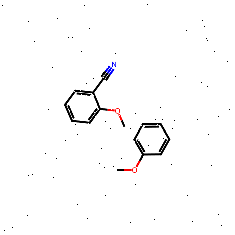 COc1ccccc1.COc1ccccc1C#N